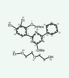 CCCCCCOc1c(-c2nc(OC)nc(-c3ccccc3)n2)ccc(CC)c1CC.CCOCCOCCO